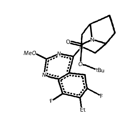 CCc1c(F)cc2c(N3CC4CCC(C3)N4C(=O)OC(C)(C)C)nc(OC)nc2c1F